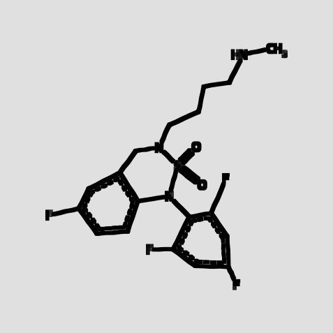 CNCCCCN1Cc2cc(F)ccc2N(c2c(F)cc(F)cc2F)S1(=O)=O